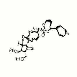 O=c1nc(NP2(=O)OCCC(c3ccncc3)O2)ccn1[C@@H]1O[C@H](CO)C(O)C1(F)F